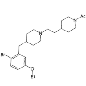 CCOc1ccc(Br)c(CC2CCN(CCC3CCN(C(C)=O)CC3)CC2)c1